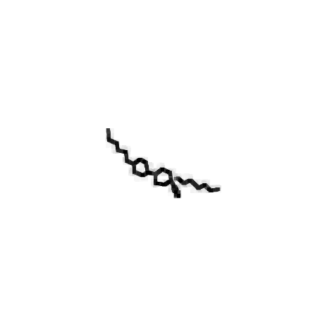 CCCCCCC[C@]1(C#N)CC[C@@H](C2CCC(CCCCCC)CC2)CC1